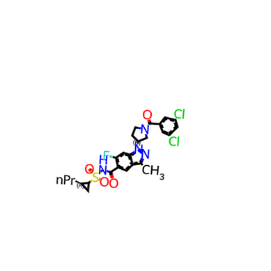 CCC[C@@H]1CC1S(=O)(=O)NC(=O)c1cc2c(C)nn([C@@H]3CCN(C(=O)c4cc(Cl)cc(Cl)c4)C3)c2cc1F